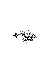 C[C@H]1c2c([nH]c3nnc(-c4ccccc4O)cc23)CCN1c1nccc(C2CCNCC2)n1